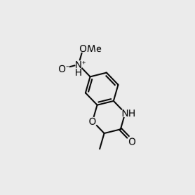 CO[NH+]([O-])c1ccc2c(c1)OC(C)C(=O)N2